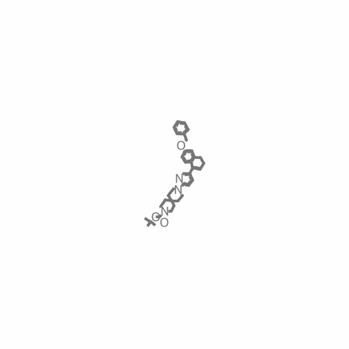 CC(C)(C)OC(=O)N1CCC2(CC1)CCN(c1ccc(C3=CCCc4cc(OCc5ccccc5)ccc43)cn1)CC2